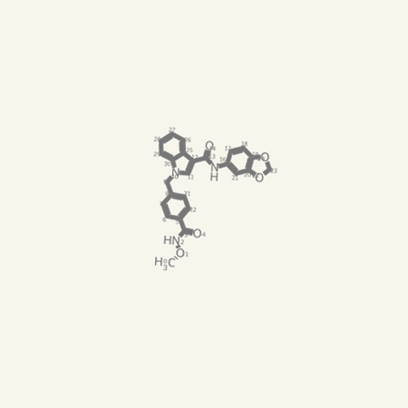 CONC(=O)c1ccc(Cn2cc(C(=O)Nc3ccc4c(c3)OCO4)c3ccccc32)cc1